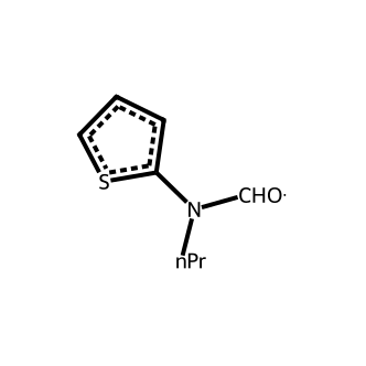 CCCN([C]=O)c1cccs1